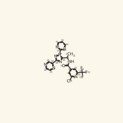 CC(NC(=O)c1cc(Cl)nc(C(F)(F)F)c1)c1nc(-c2cnccn2)nn1-c1ncccn1